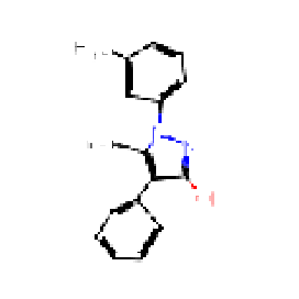 CCCCc1c(-c2ccccc2)c(O)nn1-c1cccc(C)c1